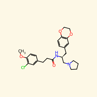 COc1ccc(CCC(=O)N[C@@H](Cc2ccc3c(c2)OCCO3)CN2CCCC2)cc1Cl